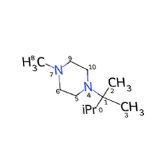 [CH2]C(C)C(C)(C)N1CCN(C)CC1